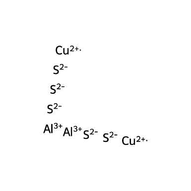 [Al+3].[Al+3].[Cu+2].[Cu+2].[S-2].[S-2].[S-2].[S-2].[S-2]